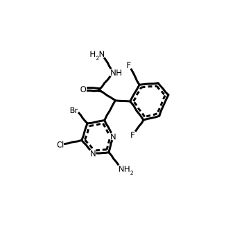 NNC(=O)C(c1nc(N)nc(Cl)c1Br)c1c(F)cccc1F